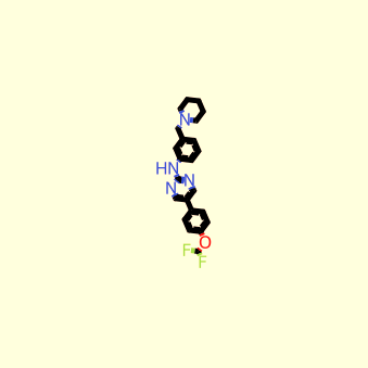 FC(F)Oc1ccc(-c2cnc(Nc3cccc(CN4CCCCC4)c3)nc2)cc1